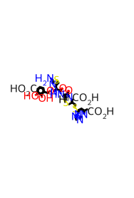 Nc1nc(C(=NOCc2ccc(C(=O)O)c(O)c2O)C(=O)N[C@@H]2C(=O)N3C(C(=O)O)=C(CSc4cc(CC(=O)O)nc5ncnn45)CS[C@H]23)cs1